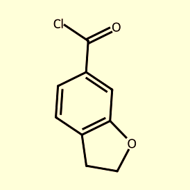 O=C(Cl)c1ccc2c(c1)OCC2